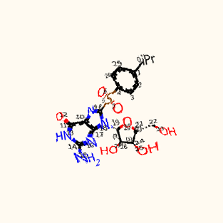 CC(C)c1ccc(S(=O)(=O)c2nc3c(=O)[nH]c(N)nc3n2[C@@H]2O[C@H](CO)[C@@H](O)[C@H]2O)cc1